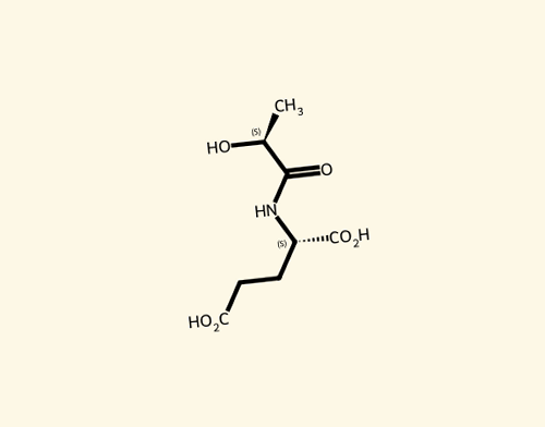 C[C@H](O)C(=O)N[C@@H](CCC(=O)O)C(=O)O